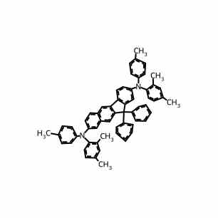 Cc1ccc(N(c2ccc3c(c2)C(c2ccccc2)(c2ccccc2)c2cc4cc(N(c5ccc(C)cc5)c5ccc(C)cc5C)ccc4cc2-3)c2ccc(C)cc2C)cc1